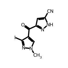 Cn1cc(C(=O)c2cc(C#N)[nH]n2)c(I)n1